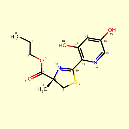 CCCOC(=O)[C@@]1(C)CSC(c2ncc(O)cc2O)=N1